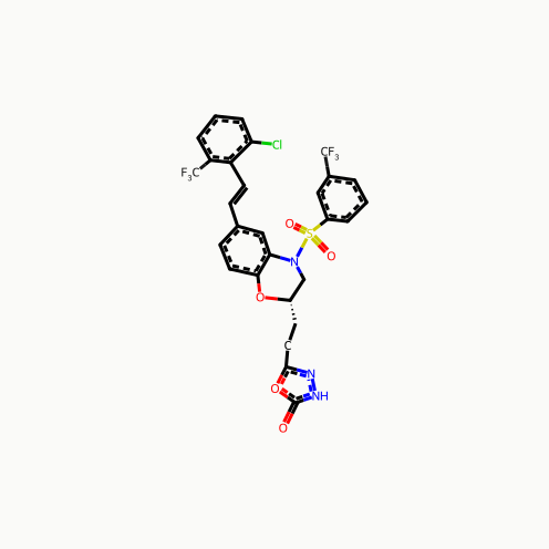 O=c1[nH]nc(CC[C@H]2CN(S(=O)(=O)c3cccc(C(F)(F)F)c3)c3cc(C=Cc4c(Cl)cccc4C(F)(F)F)ccc3O2)o1